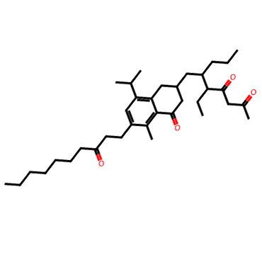 CCCCCCCC(=O)CCc1cc(C(C)C)c2c(c1C)C(=O)CC(CC(CCC)C(CC)C(=O)CC(C)=O)C2